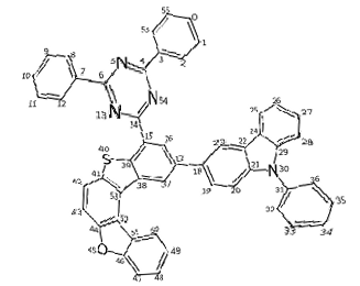 c1ccc(-c2nc(-c3ccccc3)nc(-c3cc(-c4ccc5c(c4)c4ccccc4n5-c4ccccc4)cc4c3sc3ccc5oc6ccccc6c5c34)n2)cc1